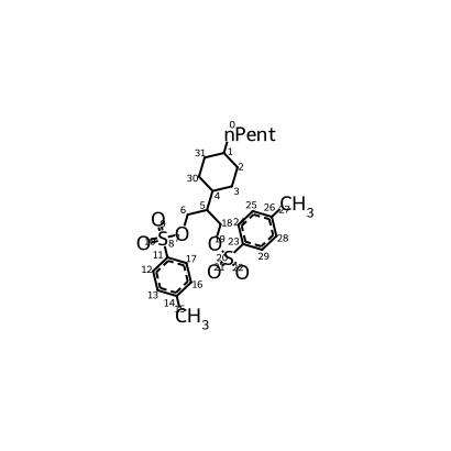 CCCCCC1CCC(C(COS(=O)(=O)c2ccc(C)cc2)COS(=O)(=O)c2ccc(C)cc2)CC1